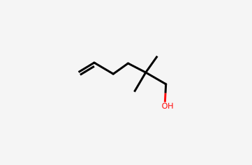 C=CCCC(C)(C)CO